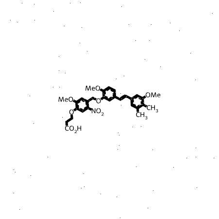 COc1cc(COc2cc(/C=C/c3cc(C)c(C)c(OC)c3)ccc2OC)c([N+](=O)[O-])cc1OCCC(=O)O